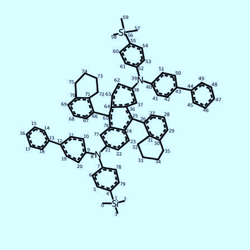 C[Si](C)(C)c1ccc(N(c2ccc(-c3ccccc3)cc2)c2ccc3c(-c4cccc5c4CCCC5)c4cc(N(c5ccc(-c6ccccc6)cc5)c5ccc([Si](C)(C)C)cc5)ccc4c(-c4cccc5c4CCCC5)c3c2)cc1